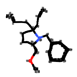 C=CCC1(CC=C)CC[C@H](COC)N1Cc1ccccc1